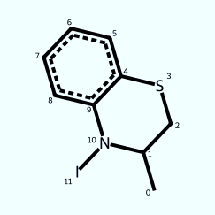 CC1CSc2ccccc2N1I